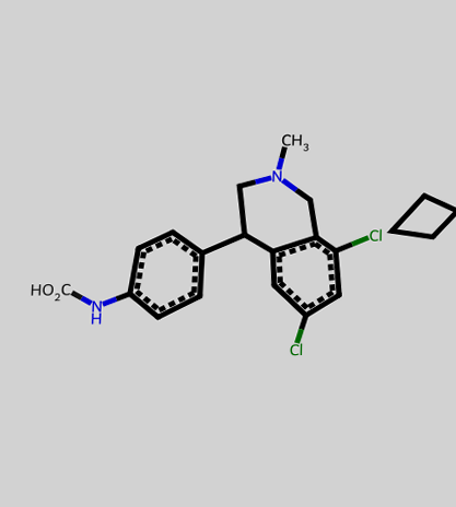 C1CCC1.CN1Cc2c(Cl)cc(Cl)cc2C(c2ccc(NC(=O)O)cc2)C1